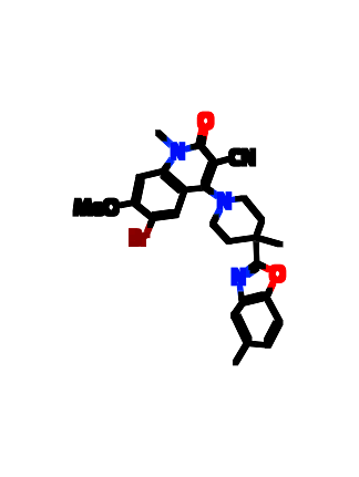 COc1cc2c(cc1Br)c(N1CCC(C)(c3nc4cc(C)ccc4o3)CC1)c(C#N)c(=O)n2C